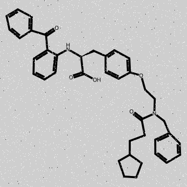 O=C(c1ccccc1)c1ccccc1N[C@@H](Cc1ccc(OCCN(Cc2ccccc2)C(=O)CCC2CCCC2)cc1)C(=O)O